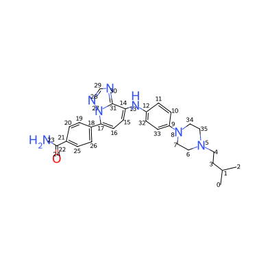 CC(C)CCN1CCN(c2ccc(Nc3ccc(-c4ccc(C(N)=O)cc4)n4ncnc34)cc2)CC1